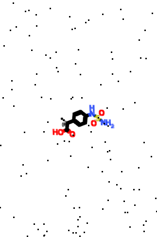 C[C@@H](C(=O)O)c1ccc(NS(N)(=O)=O)cc1